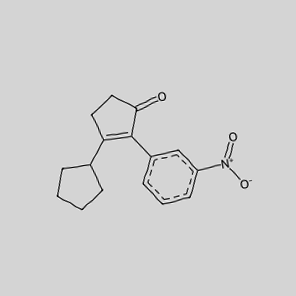 O=C1CCC(C2CCCC2)=C1c1cccc([N+](=O)[O-])c1